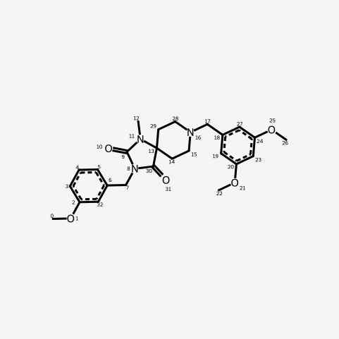 COc1cccc(CN2C(=O)N(C)C3(CCN(Cc4cc(OC)cc(OC)c4)CC3)C2=O)c1